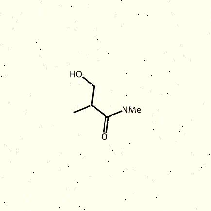 CNC(=O)C(C)CO